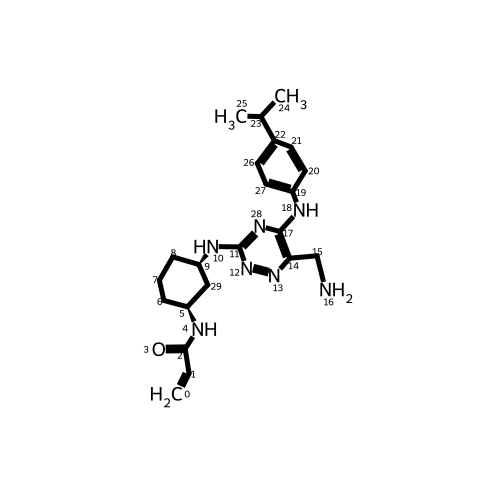 C=CC(=O)N[C@H]1CCC[C@@H](Nc2nnc(CN)c(Nc3ccc(C(C)C)cc3)n2)C1